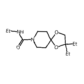 CCNC(=O)N1CCC2(CC1)OCC(CC)(CC)O2